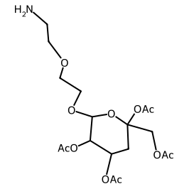 CC(=O)OCC1(OC(C)=O)CC(OC(C)=O)C(OC(C)=O)C(OCCOCCN)O1